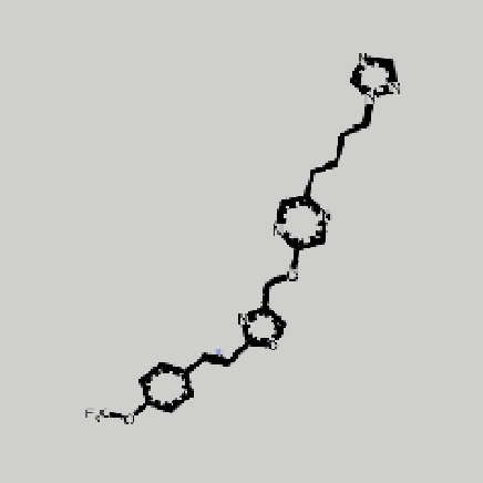 FC(F)(F)Oc1ccc(/C=C/c2nc(COc3cnc(CCCCn4cncn4)cn3)co2)cc1